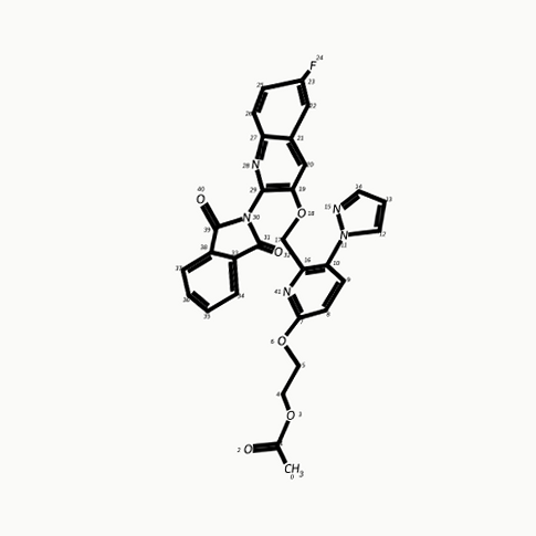 CC(=O)OCCOc1ccc(-n2cccn2)c(COc2cc3cc(F)ccc3nc2N2C(=O)c3ccccc3C2=O)n1